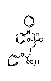 O=C(O)C(CCCS(=O)(=O)NN(c1ccccc1)c1ccccc1)Oc1ccccc1